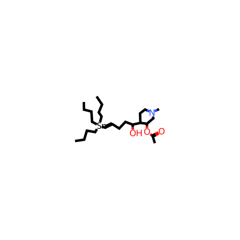 CCC[CH2][Sn](/[CH]=C/CCC(O)C1CCN(C)CC1OC(C)=O)([CH2]CCC)[CH2]CCC